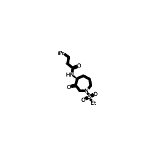 CCS(=O)(=O)N1CCC[C@H](NC(=O)[CH]CC(C)C)C(=O)C1